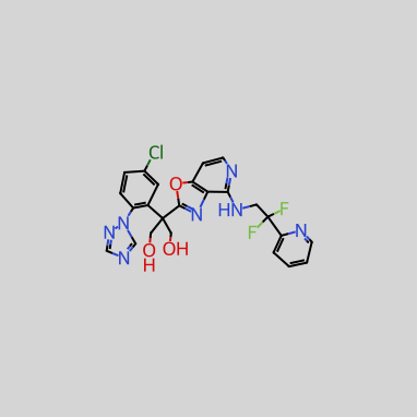 OCC(CO)(c1nc2c(NCC(F)(F)c3ccccn3)nccc2o1)c1cc(Cl)ccc1-n1cncn1